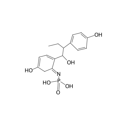 CCC(c1ccc(O)cc1)C(O)C1=CC=C(O)CC1=NP(=O)(O)O